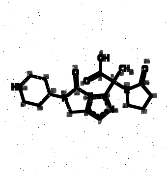 CC(C(=O)O)(c1ncc2n1C(=O)N(C1CCNCC1)C2)N1CCCC1=O